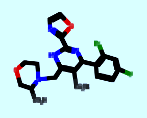 CCOC(=O)C1=C(CN2CCOCC2C(=O)O)NC(c2ncco2)=NC1c1ccc(F)cc1Br